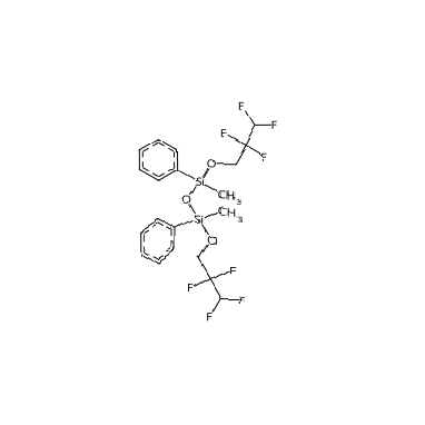 C[Si](OCC(F)(F)C(F)F)(O[Si](C)(OCC(F)(F)C(F)F)c1ccccc1)c1ccccc1